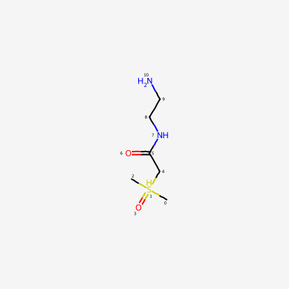 C[SH](C)(=O)CC(=O)NCCN